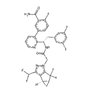 NC(=O)c1cc(-c2cccnc2[C@H](Cc2cc(F)cc(F)c2)NC(=O)Cn2nc(C(F)F)c3c2C(F)(F)C2C[C@@H]32)ccc1F